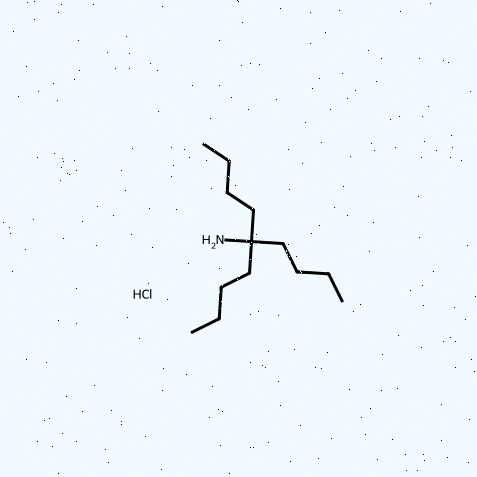 CCCCC(N)(CCCC)CCCC.Cl